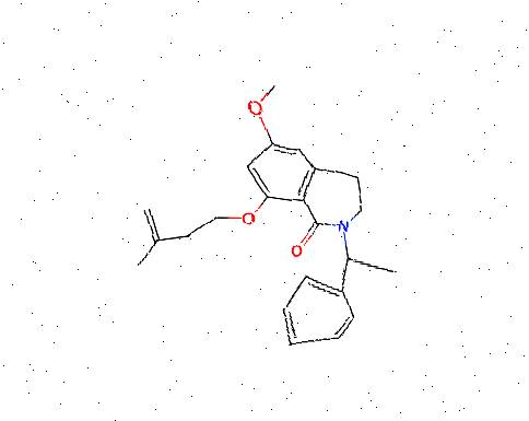 C=C(C)CCOc1cc(OC)cc2c1C(=O)N(C(C)c1ccccc1)CC2